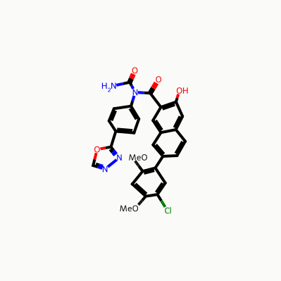 COc1cc(OC)c(-c2ccc3cc(O)c(C(=O)N(C(N)=O)c4ccc(-c5nnco5)cc4)cc3c2)cc1Cl